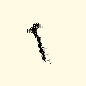 Cc1cc(N=Nc2cc(C)c(N=Nc3ccc4cc(NOc5ccc(N)cc5)ccc4c3O)cc2C)c(C)cc1N=Nc1ccc(N=Nc2cc3c(S(=O)(=O)O)cccc3cc2S(=O)(=O)O)c(C)c1